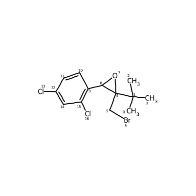 CC(C)(C)C1(CBr)OC1c1ccc(Cl)cc1Cl